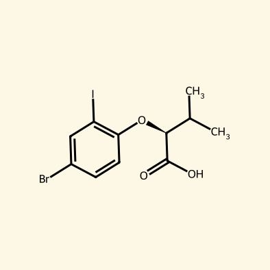 CC(C)[C@H](Oc1ccc(Br)cc1I)C(=O)O